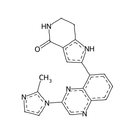 Cc1nccn1-c1cnc2cccc(-c3cc4c([nH]3)CCNC4=O)c2n1